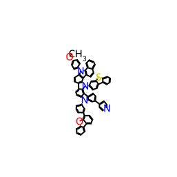 COc1ccc(-n2c3ccc4c5ccc6c(c7ccc(-c8ccncc8)cc7n6-c6cccc(-c7cccc8c7oc7ccccc78)c6)c5n(-c5ccc6c(c5)sc5ccccc56)c4c3c3ccc4ccccc4c32)cc1